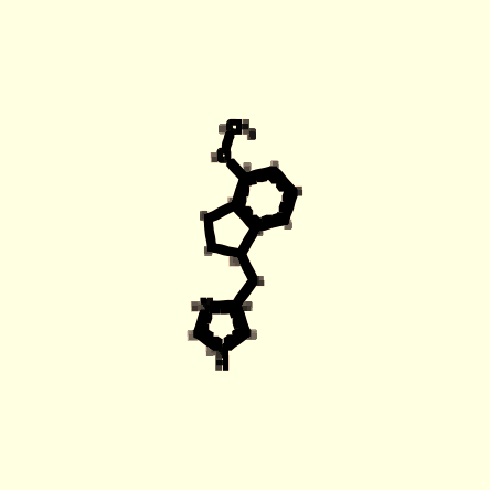 COc1cccc2c1CCC2Cc1c[nH]cn1